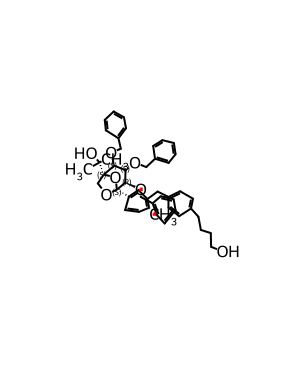 Cc1ccc([C@]23OC[C@](C(C)(C)O)(O2)[C@@H](OCc2ccccc2)[C@H](OCc2ccccc2)[C@H]3OCc2ccccc2)cc1Cc1ccc(CCCCO)cc1